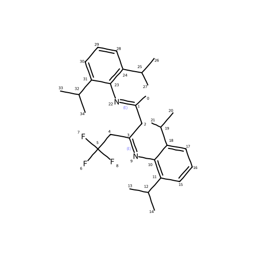 C/C(C/C(CC(F)(F)F)=N\c1c(C(C)C)cccc1C(C)C)=N\c1c(C(C)C)cccc1C(C)C